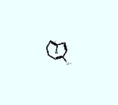 OC1=C/CC/C=C(Br)/C=C\1